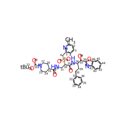 Cc1cccc(CS(=O)(=O)C(CNC(=O)C2CCN(C(=O)OC(C)(C)C)CC2)C(=O)NC(CCc2ccccc2)C(=O)c2nc3ccccc3o2)n1